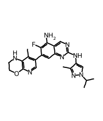 Cc1nn(C(C)C)cc1Nc1ncc2c(N)c(F)c(-c3cnc4c(c3C)NCCO4)cc2n1